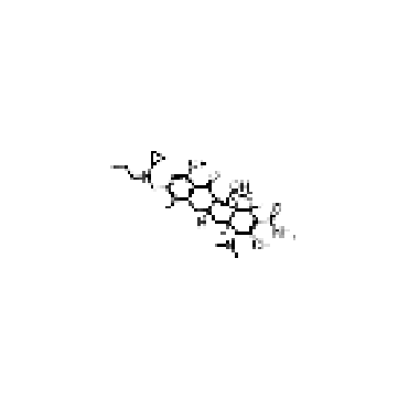 CCCN(Cc1cc(O)c2c(c1F)C[C@H]1C[C@H]3[C@H](N(C)C)C(O)=C(C(N)=O)C4(C)OO[C@]34C(O)=C1C2=O)C1CC1